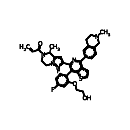 C=CC(=O)N1CCn2nc(-c3nc(-c4ccc5c(c4)CCN(C)C5)c4ccsc4c3-c3c(F)cc(F)cc3OCCO)cc2[C@@H]1C